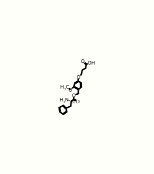 COc1cc(OCCCC(=O)O)ccc1COC(=O)[C@@H](N)Cc1ccccc1